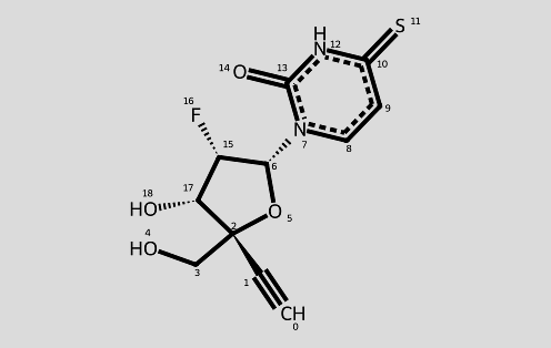 C#C[C@]1(CO)O[C@@H](n2ccc(=S)[nH]c2=O)[C@@H](F)[C@H]1O